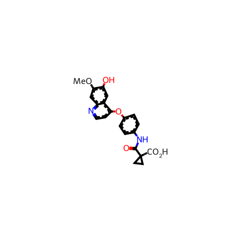 COc1cc2nccc(Oc3ccc(NC(=O)C4(C(=O)O)CC4)cc3)c2cc1O